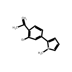 C=C(C)c1ccc(-c2cccn2C)cc1CC